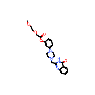 COCCOCC(=O)Oc1cccc(N2CCN(Cc3nc4ccccc4c(=O)[nH]3)CC2)c1